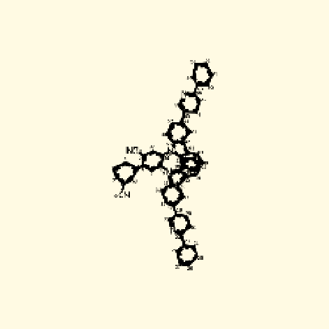 N#Cc1cccc(-c2cc(-n3c4ccccc4c4cc(-c5ccc(-c6ccccc6)nc5)ccc43)c(-n3c4ccccc4c4cc(-c5ccc(-c6ccccc6)nc5)ccc43)cc2C#N)c1